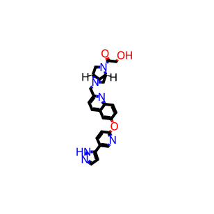 O=C(CO)N1C[C@H]2C[C@@H]1CN2Cc1ccc2cc(Oc3ccc(-c4ccn[nH]4)cn3)ccc2n1